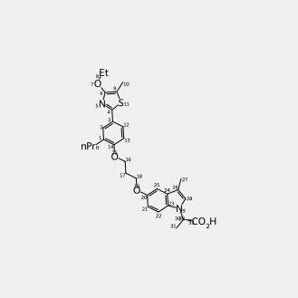 CCCc1cc(-c2nc(OCC)c(C)s2)ccc1OCCCOc1ccc2c(c1)c(C)cn2[C@H](C)C(=O)O